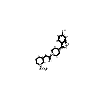 O=C(O)N1CCCC(CC(=O)N2CCC(c3noc4cc(F)ccc34)CC2)C1